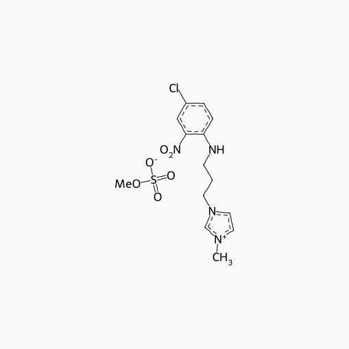 COS(=O)(=O)[O-].C[n+]1ccn(CCCNc2ccc(Cl)cc2[N+](=O)[O-])c1